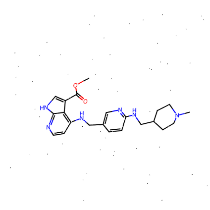 COC(=O)c1c[nH]c2nccc(NCc3ccc(NCC4CCN(C)CC4)nc3)c12